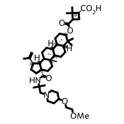 C=C(C)[C@@H]1CC[C@]2(C(=O)NC(C)(C)CN3CCC(OCCOC)CC3)CC[C@]3(C)C(CC[C@@H]4[C@@]5(C)CC[C@H](OC(=O)C6C[C@@H](C(=O)O)C6(C)C)C(C)(C)[C@@H]5CC[C@]43C)[C@@H]12